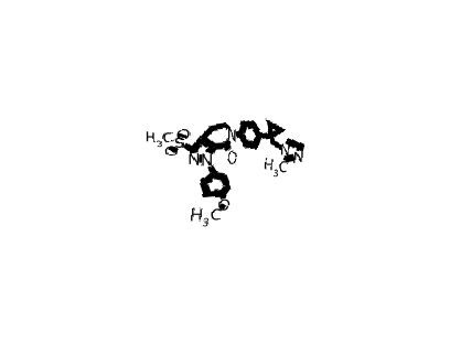 COc1ccc(-n2nc(S(C)(=O)=O)c3c2C(=O)N(c2ccc(C4(Cn5ccnc5C)CC4)cc2)CC3)cc1